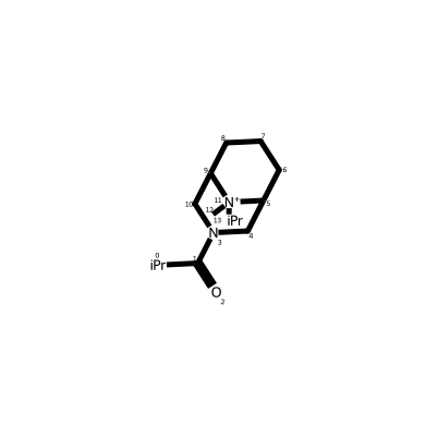 CC(C)C(=O)N1CC2CCCC(C1)[N+]2(C)C(C)C